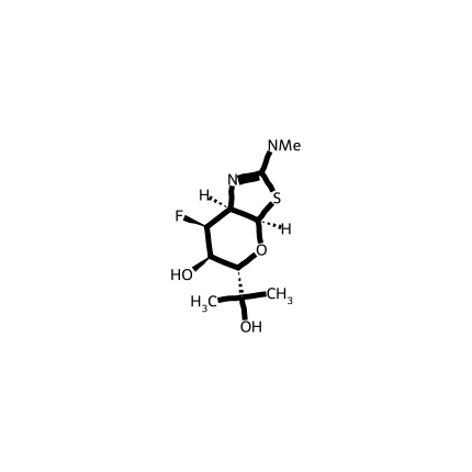 CNC1=N[C@@H]2[C@H](F)[C@H](O)[C@@H](C(C)(C)O)O[C@@H]2S1